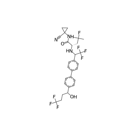 CC(C)(F)C[C@H](NC(c1ccc(-c2ccc(C(O)CCC(F)(F)F)cc2)cc1)C(F)(F)F)C(=O)NC1(C#N)CC1